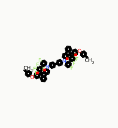 C=Cc1ccc(Oc2ccc(C3(c4c(F)cc(F)c(F)c4F)c4ccccc4-c4ccc(N(c5ccc(F)cc5)c5ccc(-c6ccc(N(c7ccc(F)cc7)c7ccc8c(c7)C(c7ccc(Oc9ccc(C=C)cc9)cc7)(c7c(F)cc(F)c(F)c7F)c7ccccc7-8)cc6)cc5)cc43)cc2)cc1